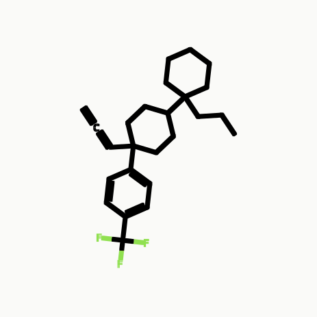 C=C=CC1(c2ccc(C(F)(F)F)cc2)CCC(C2(CCC)CCCCC2)CC1